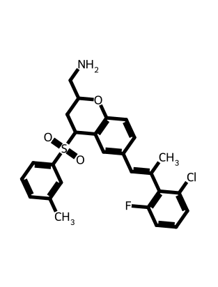 C/C(=C\c1ccc2c(c1)C(S(=O)(=O)c1cccc(C)c1)CC(CN)O2)c1c(F)cccc1Cl